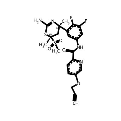 C#CCOc1ccc(C(=O)Nc2cc(F)c(F)c([C@]3(C)C[C@](C)(S(C)(=O)=O)SC(N)=N3)c2)nc1